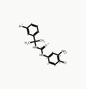 CC(=O)c1cccc(C(C)(C)NC(=O)Nc2ccc(Cl)c(N)c2)c1